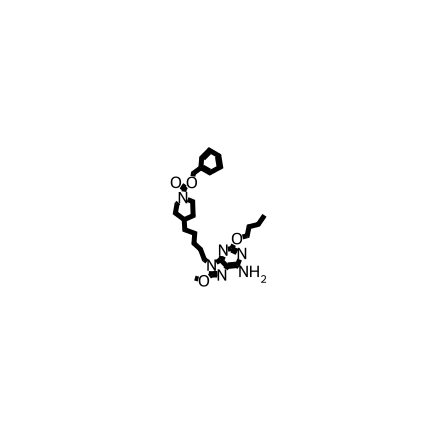 CCCCOc1nc(N)c2nc(OC)n(CCCCCC3CCN(C(=O)OCc4ccccc4)CC3)c2n1